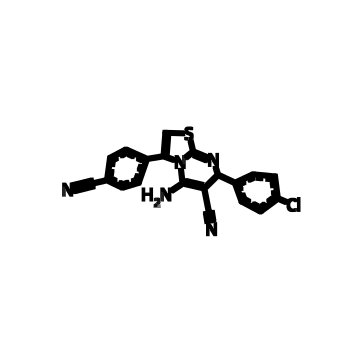 N#CC1=C(N)N2C(c3ccc(C#N)cc3)=CSC2=NC1c1ccc(Cl)cc1